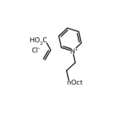 C=CC(=O)O.CCCCCCCCCC[n+]1ccccc1.[Cl-]